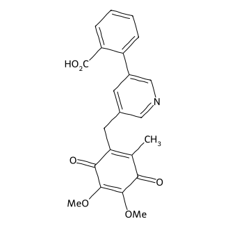 COC1=C(OC)C(=O)C(Cc2cncc(-c3ccccc3C(=O)O)c2)=C(C)C1=O